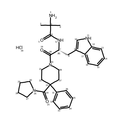 CC(C)(N)C(=O)N[C@H](Cc1c[nH]c2ccccc12)C(=O)N1CCC(C(=O)N2CCCC2)(c2ccccc2)CC1.Cl